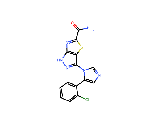 NC(=O)c1nc2[nH]nc(-n3cncc3-c3ccccc3Cl)c2s1